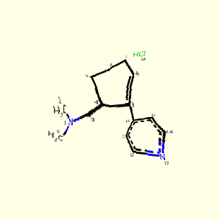 CN(C)CC1CCCC=C1c1ccncc1.Cl